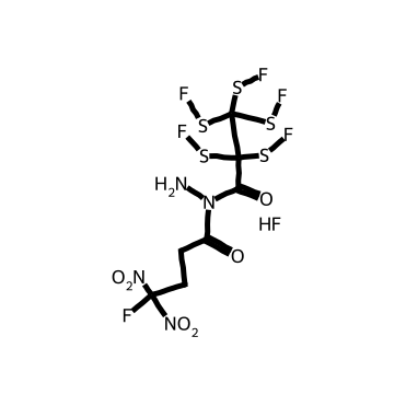 F.NN(C(=O)CCC(F)([N+](=O)[O-])[N+](=O)[O-])C(=O)C(SF)(SF)C(SF)(SF)SF